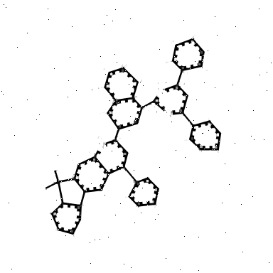 CC1(C)c2ccccc2-c2cc3c(-c4ccccc4)cc(-c4cc(-c5nc(-c6ccccc6)cc(-c6ccccc6)n5)c5ccccc5c4)nc3cc21